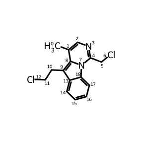 Cc1cnc(CCl)n2c1c(CCCl)c1ccccc12